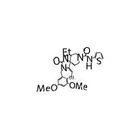 CCN1C(=O)N2Cc3cc(OC)cc(OC)c3[C@@H](C)C=C2C12CCN(C(=O)Nc1cccs1)CC2